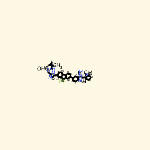 CN1C(c2nc3ccc(-c4ccc5c(c4)C(F)(F)c4cc(-c6cnc(CN(C=O)CC7(C)CC7)[nH]6)ccc4-5)cc3[nH]2)[C@H]2CC[C@@H]1C2